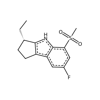 CC[C@H]1CCc2c1[nH]c1c(S(C)(=O)=O)cc(F)cc21